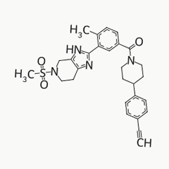 C#Cc1ccc(C2CCN(C(=O)c3ccc(C)c(-c4nc5c([nH]4)CN(S(C)(=O)=O)CC5)c3)CC2)cc1